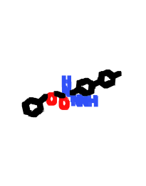 Cc1ccc(-c2ccc3c(NC(=O)COCc4ccccc4)n[nH]c3c2)cc1